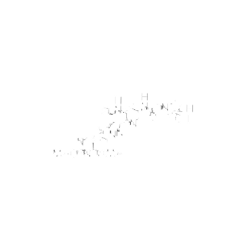 COc1ncc(-c2cn3nc4c5ncc(NC(=O)CN6CC(C)(C)C6)cc5[nH]c(=O)c4c3s2)c(OC)n1